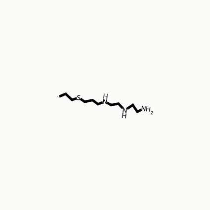 [CH2]CCSCCCNCCNCCN